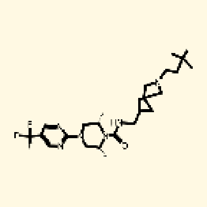 C[C@@H]1CN(c2ncc(C(F)(F)F)cn2)C[C@H](C)N1C(=O)NCC1CC2(C1)CN(CCC(C)(C)C)C2